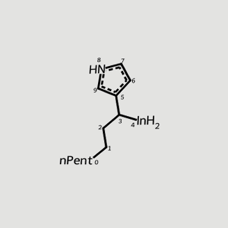 CCCCCCC[CH]([InH2])c1cc[nH]c1